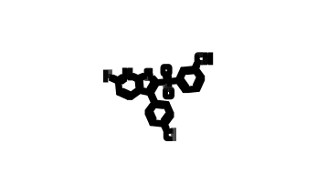 N#Cc1cccc(S(=O)(=O)c2sc3nc(F)ccc3c2-c2ccc(Cl)cc2)c1